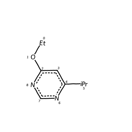 CCOc1cc(C(C)C)ncn1